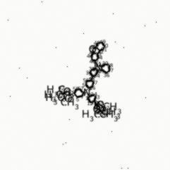 CC1(C)OB(c2ccc(N(c3ccc(B4OC(C)(C)C(C)(C)O4)cc3)c3ccc(-c4ccc5c(c4)c4ccccc4n5-c4ccc5oc6ccccc6c5c4)cc3)cc2)OC1(C)C